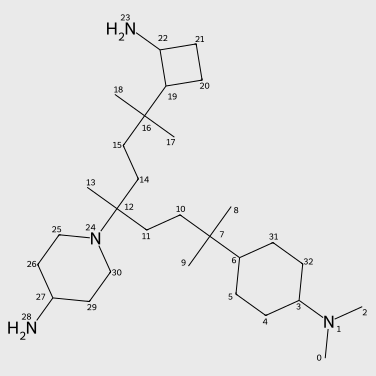 CN(C)C1CCC(C(C)(C)CCC(C)(CCC(C)(C)C2CCC2N)N2CCC(N)CC2)CC1